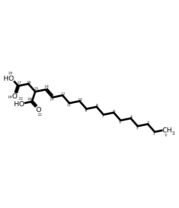 CCCCCCCCCCCCCC=CC(CC(=O)O)C(=O)O